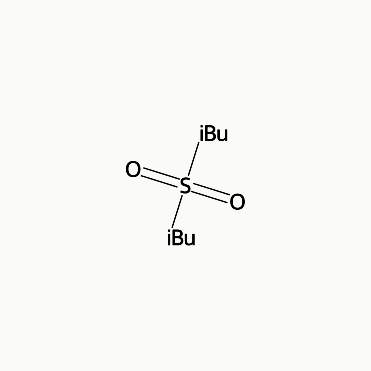 [CH2]CC(C)S(=O)(=O)C(C)CC